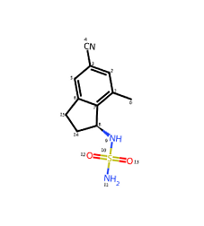 Cc1cc(C#N)cc2c1[C@@H](NS(N)(=O)=O)CC2